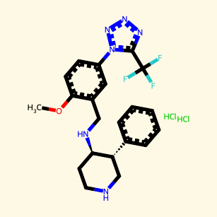 COc1ccc(-n2nnnc2C(F)(F)F)cc1CN[C@@H]1CCNC[C@H]1c1ccccc1.Cl.Cl